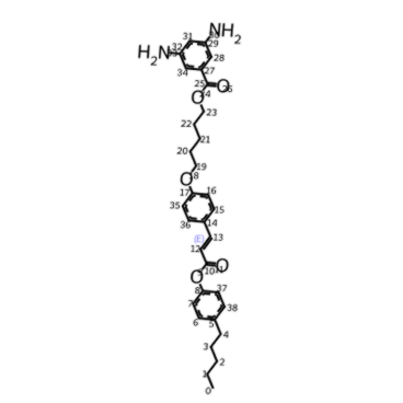 CCCCCc1ccc(OC(=O)/C=C/c2ccc(OCCCCCOC(=O)c3cc(N)cc(N)c3)cc2)cc1